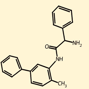 Cc1ccc(-c2ccccc2)cc1NC(=O)C(N)c1ccccc1